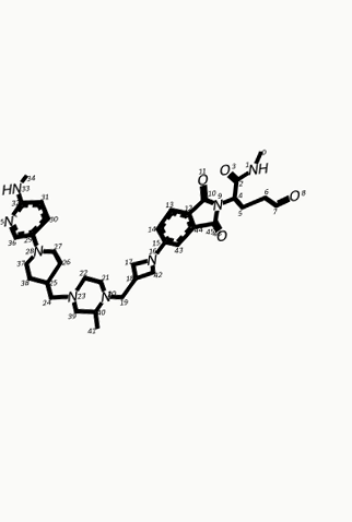 CNC(=O)C(CCC=O)N1C(=O)c2ccc(N3CC(CN4CCN(CC5CCN(c6ccc(NC)nc6)CC5)CC4C)C3)cc2C1=O